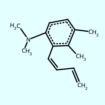 C=C/C=C\c1c(N(C)C)ccc(C)c1C